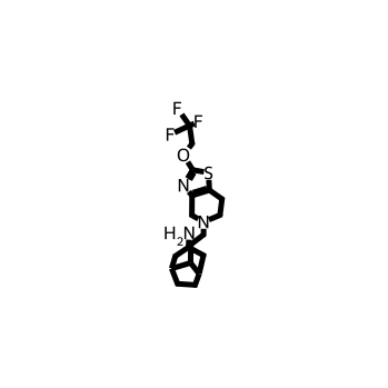 NC1CC2CCC(C1)C2CCN1CCc2sc(OCC(F)(F)F)nc2C1